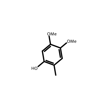 COc1cc(C)c(O)cc1OC